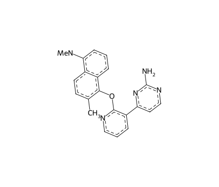 CNc1cccc2c(Oc3ncccc3-c3ccnc(N)n3)c(C)ccc12